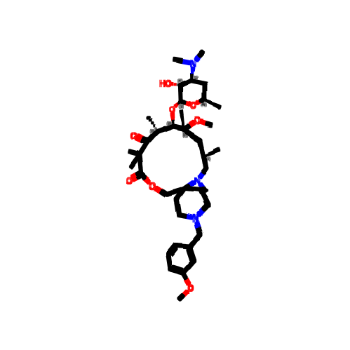 COc1cccc(CN2CCC3(CC2)COC(=O)C(C)(C)C(=O)[C@H](C)[C@@H](O[C@@H]2O[C@H](C)C[C@H](N(C)C)[C@H]2O)[C@](C)(OC)C[C@@H](C)CN3C)c1